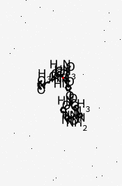 CC(COc1cccc(-c2cnc(N)c(C(=O)Nc3cnccc3N3CCOCC3)n2)c1)NC(=O)OCc1ccc(NC(=O)[C@H](CCCNC(N)=O)NC(=O)C(NC(=O)CCCCCN2C(=O)C=CC2=O)C(C)C)cc1